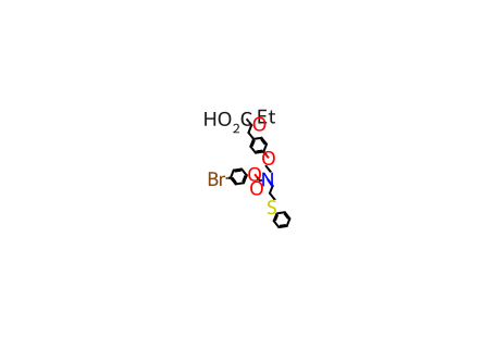 CCOC(Cc1ccc(OCCN(CCCSc2ccccc2)C(=O)Oc2ccc(Br)cc2)cc1)C(=O)O